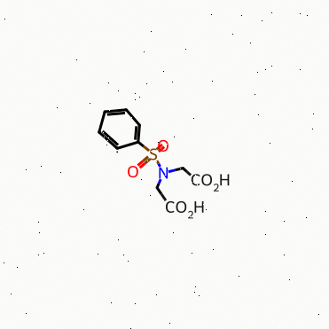 O=C(O)CN(CC(=O)O)S(=O)(=O)c1[c]cccc1